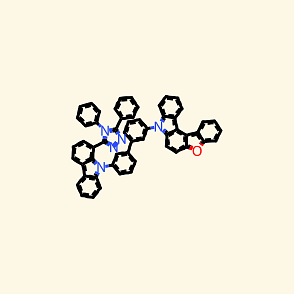 c1ccc(-c2nnc(-c3cccc4c5ccccc5n(-c5cccc(-c6cccc(-n7c8ccccc8c8c9c(ccc87)oc7ccccc79)c6)c5)c34)n2-c2ccccc2)cc1